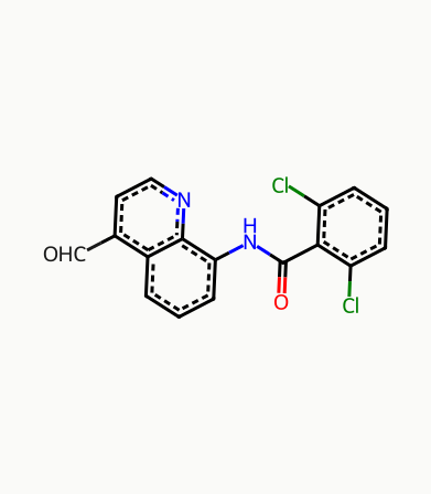 O=Cc1ccnc2c(NC(=O)c3c(Cl)cccc3Cl)cccc12